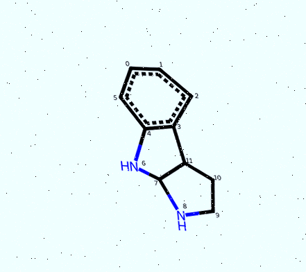 c1ccc2c(c1)NC1NCCC21